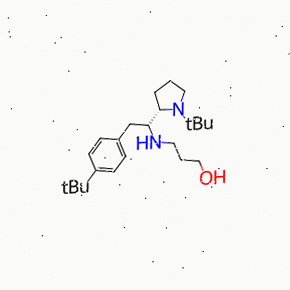 CC(C)(C)c1ccc(CC(NCCCO)[C@@H]2CCCN2C(C)(C)C)cc1